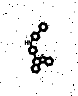 c1ccc(-c2ccc(Nc3ccc(-c4cc5ccccc5c5c4sc4ccccc45)cc3)cc2)cc1